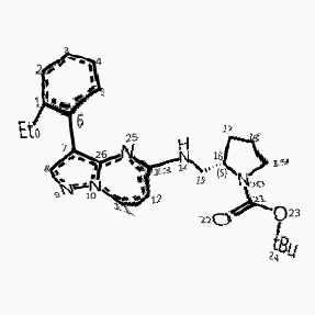 CCc1ccccc1-c1cnn2ccc(NC[C@@H]3CCCN3C(=O)OC(C)(C)C)nc12